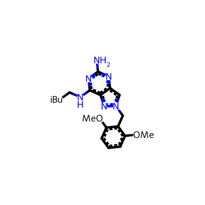 CCC(C)CNc1nc(N)nc2cn(Cc3c(OC)cccc3OC)nc12